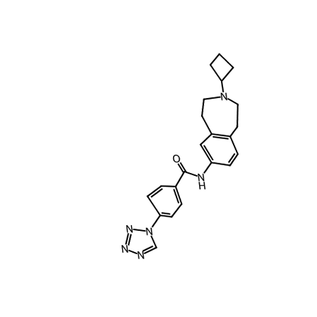 O=C(Nc1ccc2c(c1)CCN(C1CCC1)CC2)c1ccc(-n2cnnn2)cc1